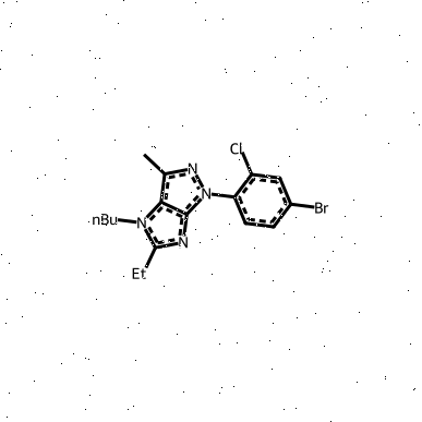 CCCCn1c(CC)nc2c1c(C)nn2-c1ccc(Br)cc1Cl